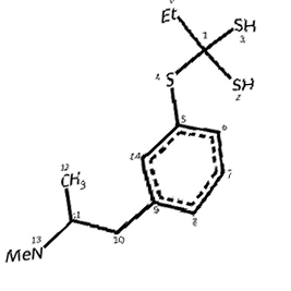 CCC(S)(S)Sc1cccc(CC(C)NC)c1